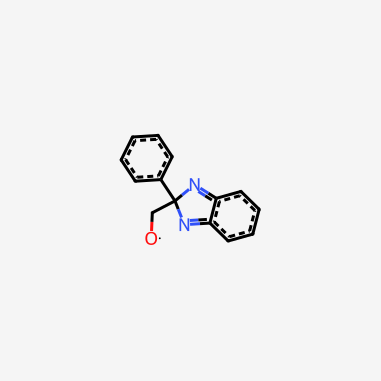 [O]CC1(c2ccccc2)N=c2ccccc2=N1